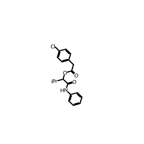 CC(C)C(OC(=O)Cc1ccc(Cl)cc1)C(=O)Nc1ccccc1